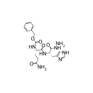 NNC(=O)[C@H](Cc1c[nH]cn1)NC(=O)[C@H](CCC(N)=O)NC(=O)OCc1ccccc1